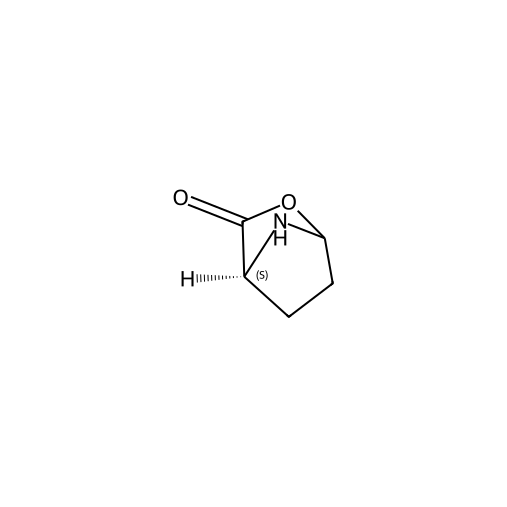 O=C1OC2CC[C@@H]1N2